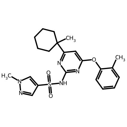 Cc1ccccc1Oc1cc(C2(C)CCCCC2)nc(NS(=O)(=O)c2cnn(C)c2)n1